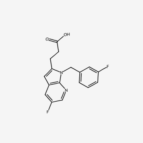 O=C(O)CCc1cc2cc(F)cnc2n1Cc1cccc(F)c1